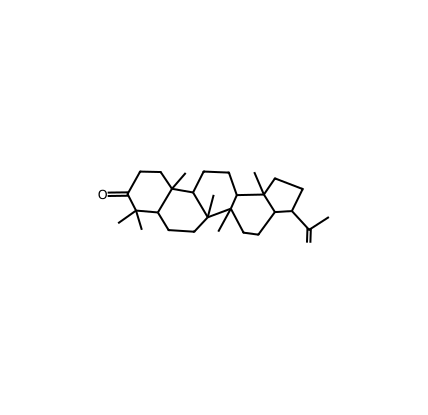 C=C(C)C1CCC2(C)C1CCC1(C)C2CCC2C3(C)CCC(=O)C(C)(C)C3CCC21C